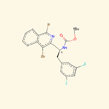 CC(C)(C)OC(=O)N[C@@H](Cc1cc(F)cc(F)c1)c1nc(Br)c2ccccc2c1Br